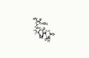 C=C(C(=O)c1cc(CCCN(CCC)C(=O)OC(C)(C)C)ccc1C(C)=O)C1CCC(=O)NC1=O